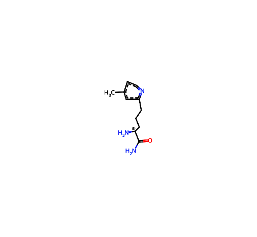 Cc1ccnc(CCC[C@H](N)C(N)=O)c1